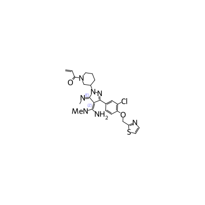 C=CC(=O)N1CCCC(N2N=C(c3ccc(OCc4nccs4)c(Cl)c3)C(=C(\N)NC)/C2=N\C)C1